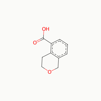 O=C(O)c1cccc2c1CCOC2